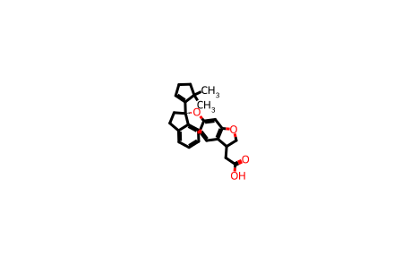 CC1(C)CCC=C1[C@]1(Oc2ccc3c(c2)OCC3CC(=O)O)CCc2ccccc21